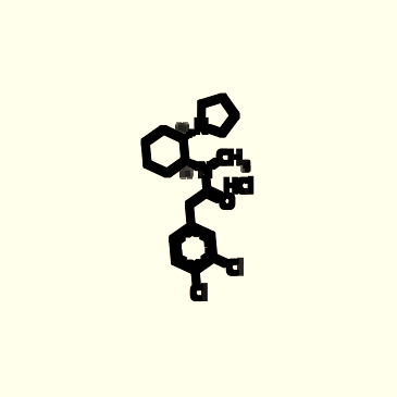 CN(C(=O)Cc1ccc(Cl)c(Cl)c1)[C@H]1CCCC[C@@H]1N1CCCC1.Cl